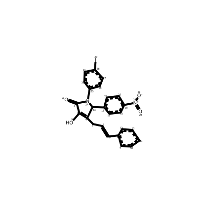 O=C1C(O)=C(CC=Cc2ccccc2)C(c2ccc([N+](=O)[O-])cc2)N1c1ccc(I)cc1